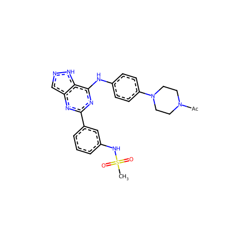 CC(=O)N1CCN(c2ccc(Nc3nc(-c4cccc(NS(C)(=O)=O)c4)nc4cn[nH]c34)cc2)CC1